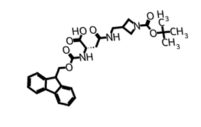 CC(C)(C)OC(=O)N1CC(CNC(=O)C[C@H](NC(=O)OCC2c3ccccc3-c3ccccc32)C(=O)O)C1